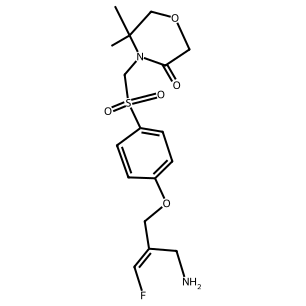 CC1(C)COCC(=O)N1CS(=O)(=O)c1ccc(OC/C(=C/F)CN)cc1